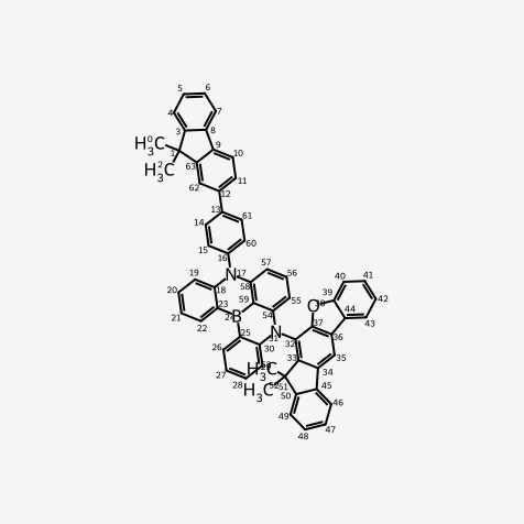 CC1(C)c2ccccc2-c2ccc(-c3ccc(N4c5ccccc5B5c6ccccc6N(c6c7c(cc8c6oc6ccccc68)-c6ccccc6C7(C)C)c6cccc4c65)cc3)cc21